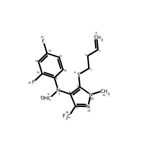 C=CCCSc1c(N(C=O)c2ccc(F)cc2F)c(C(F)(F)F)nn1C